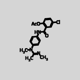 CN=C(C)N(C)c1ccc(NC(=O)c2cc(Cl)ccc2OC(C)=O)cc1